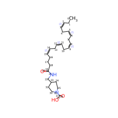 CC/C=C\C/C=C\C/C=C\C/C=C\C/C=C\CCCC(=O)NCC1CCN(C(=O)O)CC1